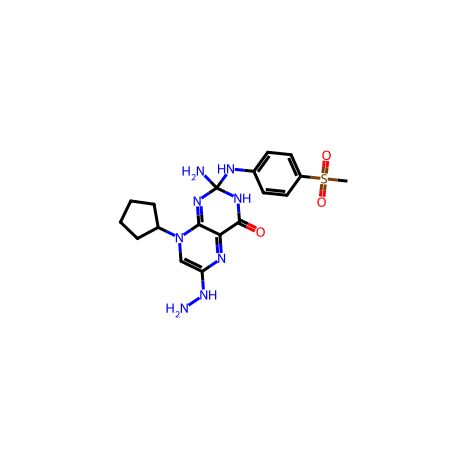 CS(=O)(=O)c1ccc(NC2(N)N=C3C(=NC(NN)=CN3C3CCCC3)C(=O)N2)cc1